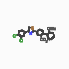 COc1ccccc1-c1ccc(-c2nc(-c3ccc(Cl)c(Cl)c3)cs2)cc1C(=O)O